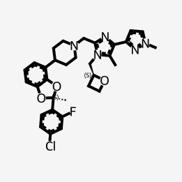 Cc1c(-c2ccn(C)n2)nc(CN2CCC(c3cccc4c3O[C@@](C)(c3ccc(Cl)cc3F)O4)CC2)n1C[C@@H]1CCO1